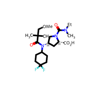 CCN(C)C(=O)N1C[C@@H](N(C(=O)C(C)(C)COC)C2CCC(F)(F)CC2)C[C@H]1C(=O)O